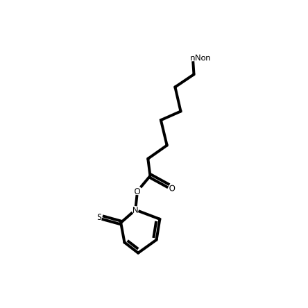 CCCCCCCCCCCCCCCC(=O)On1ccccc1=S